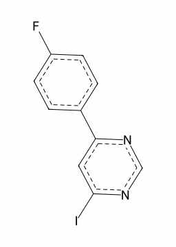 Fc1ccc(-c2cc(I)ncn2)cc1